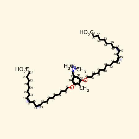 Cc1c(OCCCCCCCCC/C=C\C/C=C\CCCCCCCC(=O)O)cc(CN(C)C)cc1OCCCCCCCCC/C=C\C/C=C\CCCCCCCC(=O)O